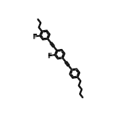 CCCCCc1ccc(C#Cc2ccc(C#Cc3ccc(CCC)c(F)c3)c(F)c2)cc1